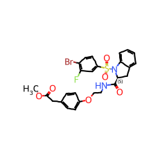 COC(=O)Cc1ccc(OCCNC(=O)[C@@H]2Cc3ccccc3N2S(=O)(=O)c2ccc(Br)c(F)c2)cc1